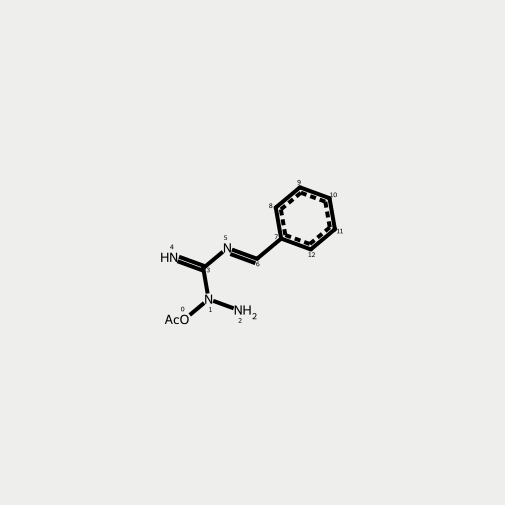 CC(=O)ON(N)C(=N)N=Cc1ccccc1